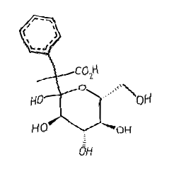 CC(C(=O)O)(c1ccccc1)C1(O)O[C@H](CO)[C@@H](O)[C@H](O)[C@H]1O